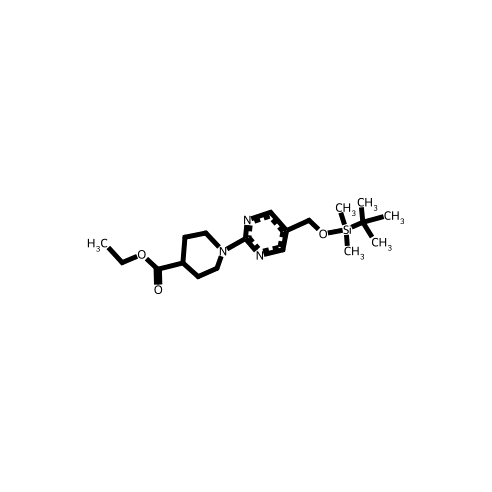 CCOC(=O)C1CCN(c2ncc(CO[Si](C)(C)C(C)(C)C)cn2)CC1